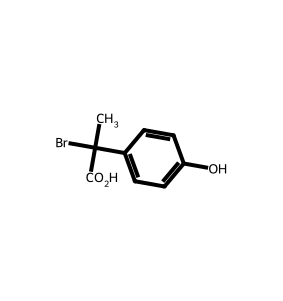 CC(Br)(C(=O)O)c1ccc(O)cc1